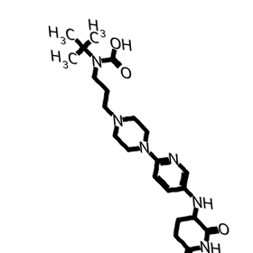 CC(C)(C)N(CCCN1CCN(c2ccc(NC3CCC(=O)NC3=O)cn2)CC1)C(=O)O